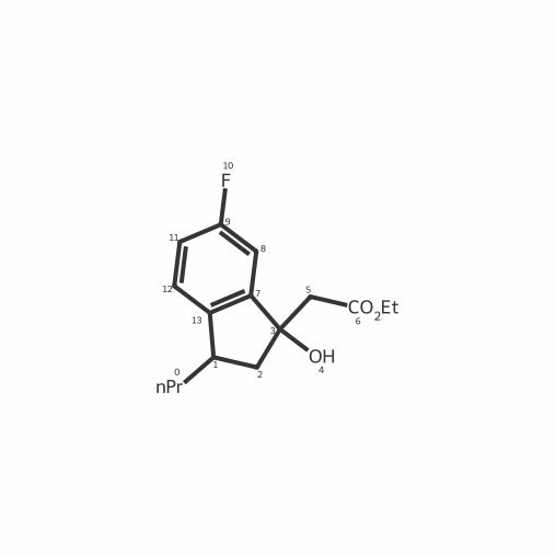 CCCC1CC(O)(CC(=O)OCC)c2cc(F)ccc21